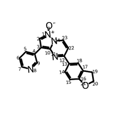 [O-][n+]1cc(-c2cccnc2)c2nc(-c3ccc4c(c3)CCO4)ccn21